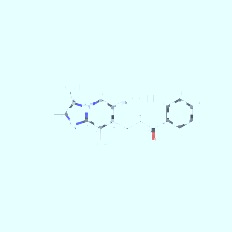 Cc1nc2c(O)c(CCC(=O)c3ccccc3)c(C(=O)O)cn2c1C